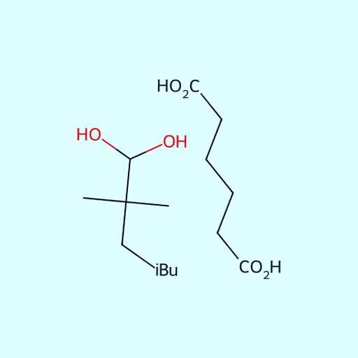 CCC(C)CC(C)(C)C(O)O.O=C(O)CCCCC(=O)O